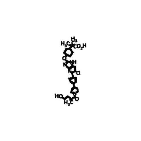 CN(CCO)C(=O)N1CC=C(c2ccc(-c3nc4nc(OC5CCC(C(C)(C)C(=O)O)CC5)[nH]c4cc3Cl)cc2)CC1